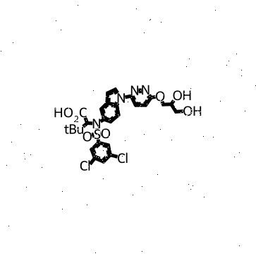 CC(C)(C)C(C(=O)O)N(c1ccc2c(ccn2-c2ccc(OCC(O)CO)nn2)c1)S(=O)(=O)c1cc(Cl)cc(Cl)c1